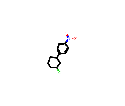 O=[N+]([O-])c1ccc(C2CCCC(Cl)C2)cc1